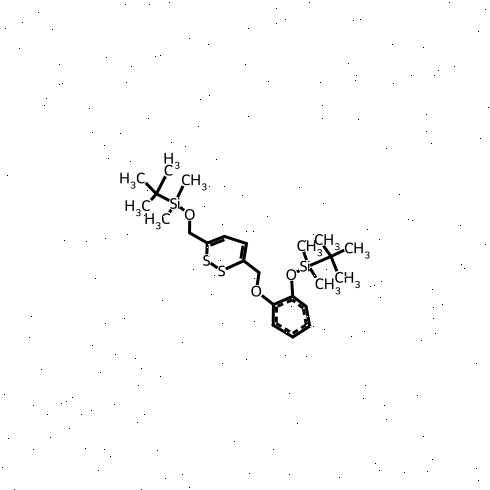 CC(C)(C)[Si](C)(C)OCC1=CC=C(COc2ccccc2O[Si](C)(C)C(C)(C)C)SS1